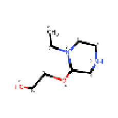 CCN1CCNCC1OCCO